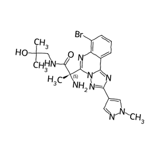 Cn1cc(-c2nc3c4cccc(Br)c4nc([C@](C)(N)C(=O)NCC(C)(C)O)n3n2)cn1